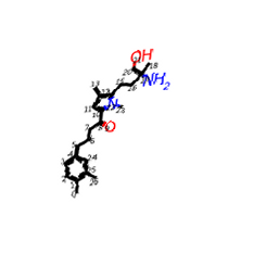 Cc1ccc(CCCC(=O)c2cc(C)c(CCC(C)(N)CO)n2C)cc1C